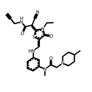 C#CCNC(=O)C(C#N)=c1sc(=CNc2cccc(N(C)C(=O)CN3CCC(C)CC3)c2)c(=O)n1CC